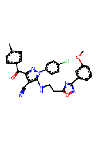 COc1cccc(-c2noc(CCNc3c(C#N)c(C(=O)c4ccc(C)cc4)nn3-c3ccc(Cl)cc3)n2)c1